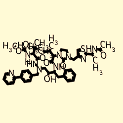 CCC(C)C(C(=O)NC(Cc1ccccc1)C(O)CN(Cc1ccc(-c2ccccn2)cc1)NC(=O)C(NC(=O)OC)C(C)(C)C)N1CCN(Cc2csc(C(C)NC(C)=O)n2)C1=O